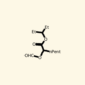 CCCCCC(O[C]=O)C(=O)OC(CC)CC